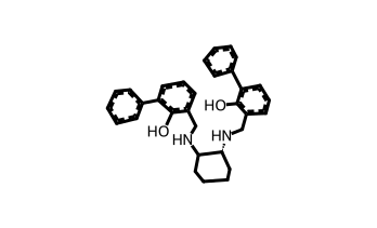 Oc1c(CNC2CCCC[C@H]2NCc2cccc(-c3ccccc3)c2O)cccc1-c1ccccc1